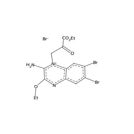 CCOC(=O)C(=O)C[n+]1c(N)c(OCC)nc2cc(Br)c(Br)cc21.[Br-]